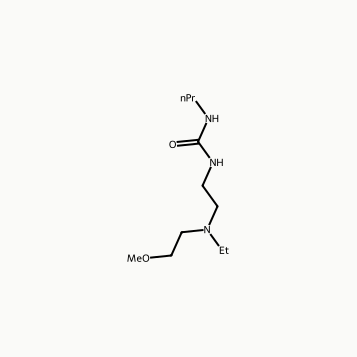 CCCNC(=O)NCCN(CC)CCOC